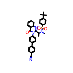 CC(c1nc2ccccc2c(=O)n1-c1ccc(-c2ccc(C#N)cc2)cc1)N(C)S(=O)(=O)c1ccc(C(C)(C)C)cc1